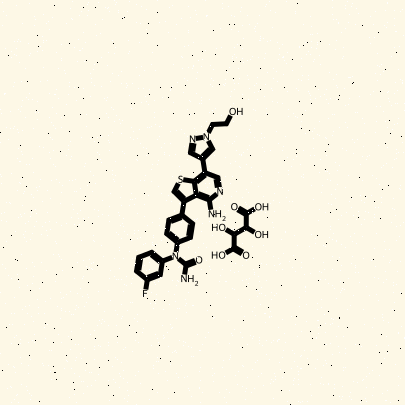 NC(=O)N(c1ccc(-c2csc3c(-c4cnn(CCO)c4)cnc(N)c23)cc1)c1cccc(F)c1.O=C(O)C(O)C(O)C(=O)O